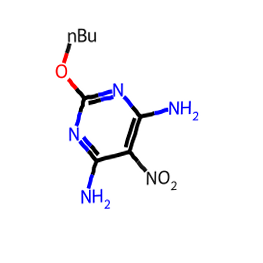 CCCCOc1nc(N)c([N+](=O)[O-])c(N)n1